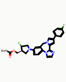 CNC(=O)OC[C@@H]1CN(c2ccc3c(c2)Cn2cc(-c4ccc(F)cc4)cc2-c2nccn2-3)C[C@@H]1F